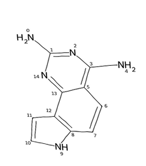 Nc1nc(N)c2ccc3[nH]ccc3c2n1